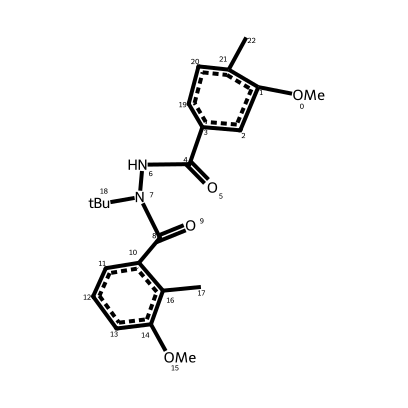 COc1cc(C(=O)NN(C(=O)c2cccc(OC)c2C)C(C)(C)C)ccc1C